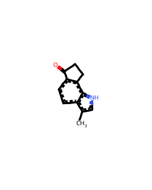 Cc1c[nH]c2c3c(ccc12)C(=O)CC3